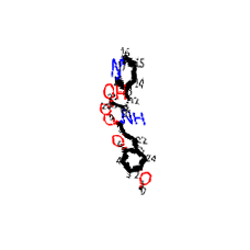 COc1ccc2oc(C(=O)N[C@@H](Cc3cccnc3)C(=O)O)cc2c1